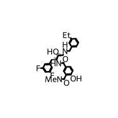 CCc1cccc(CNC[C@@H](O)[C@H](Cc2cc(F)cc(F)c2)NC(=O)c2ccc(O)c(C(=O)NC)c2)c1